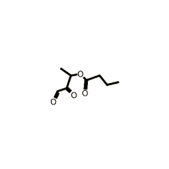 CCCC(=O)OC(C)C(=O)C=O